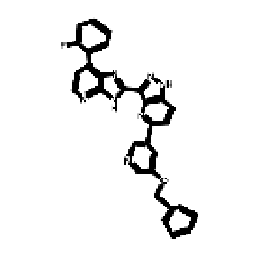 Fc1ccccc1-c1ccnc2[nH]c(-c3n[nH]c4ccc(-c5cncc(OCc6ccccc6)c5)nc34)nc12